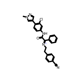 Cn1cc(-c2ccc(NC(=O)/C(=N/CCc3ccc(C#N)cc3)c3ccccc3)cc2Cl)cn1